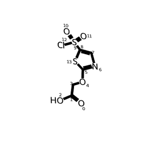 O=C(O)COc1ncc(S(=O)(=O)Cl)s1